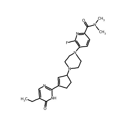 CCc1cnc(C2=CC(N3CCN(c4ccc(C(=O)N(C)C)nc4F)CC3)CC2)[nH]c1=O